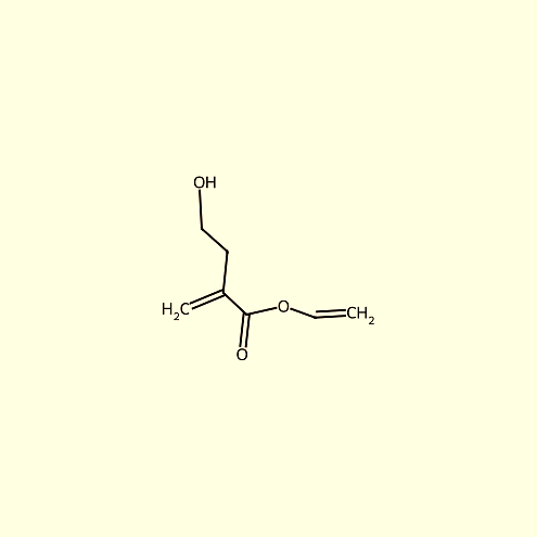 C=COC(=O)C(=C)CCO